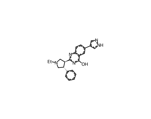 CCN1C[C@@H](c2ccccc2)[C@H](c2nc(O)c3cc(-c4cn[nH]c4)ccc3n2)C1